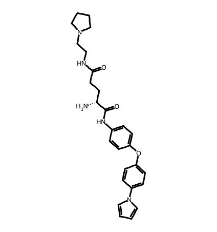 N[C@H](CCC(=O)NCCN1CCCC1)C(=O)Nc1ccc(Oc2ccc(-n3cccc3)cc2)cc1